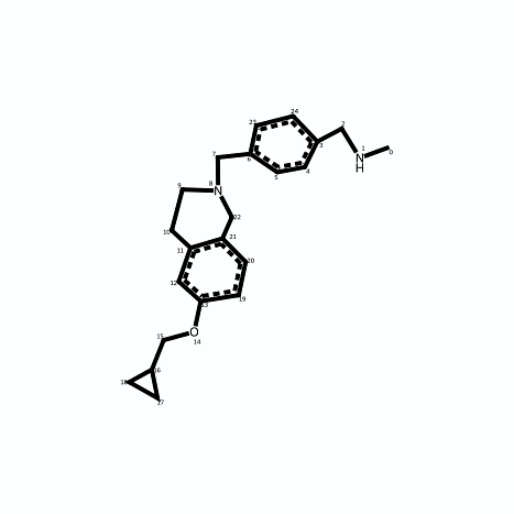 CNCc1ccc(CN2CCc3cc(OCC4CC4)ccc3C2)cc1